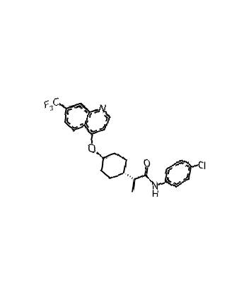 CC(C(=O)Nc1ccc(Cl)cc1)[C@H]1CC[C@H](Oc2ccnc3cc(C(F)(F)F)ccc23)CC1